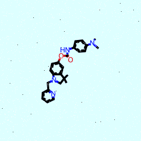 CN(C)c1ccc(NC(=O)Oc2ccc3c(c2)C(C)(C)CN3Cc2ccccn2)cc1